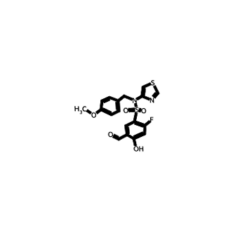 COc1ccc(CN(c2cscn2)S(=O)(=O)c2cc(C=O)c(O)cc2F)cc1